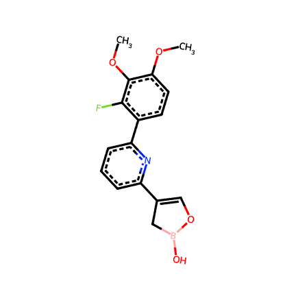 COc1ccc(-c2cccc(C3=COB(O)C3)n2)c(F)c1OC